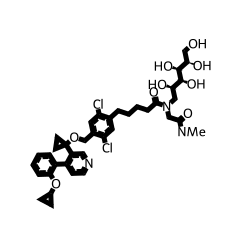 CNC(=O)CN(C[C@@H](O)[C@H](O)[C@@H](O)[C@@H](O)CO)C(=O)CCCCc1cc(Cl)c(COC2(c3cnccc3-c3ccccc3OC3CC3)CC2)cc1Cl